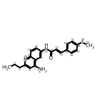 CCCc1cc(N)c2cc(NC(=O)/C=C/c3ccc(SC)cc3)ccc2n1